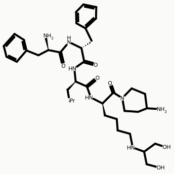 CC(C)C[C@@H](NC(=O)[C@@H](Cc1ccccc1)NC(=O)[C@H](N)Cc1ccccc1)C(=O)N[C@H](CCCCNC(CO)CO)C(=O)N1CCC(N)CC1